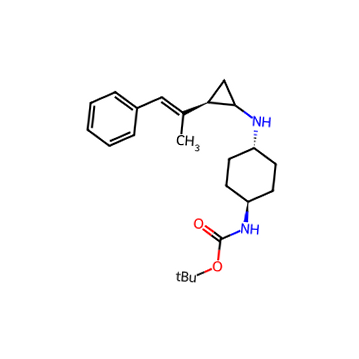 C/C(=C\c1ccccc1)[C@H]1CC1N[C@H]1CC[C@H](NC(=O)OC(C)(C)C)CC1